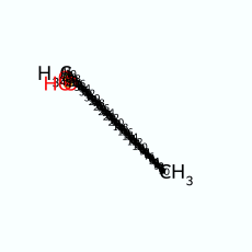 CCCCCCCCCCCCCCCCCCCCCCCCCCCCCCCCCCCCCCCC(CC)S(=O)(=O)O